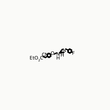 CCOC(=O)[C@H](C#N)Cc1ccc(OCCN[C@H]2C3CN(Cc4ccc(F)cc4)C[C@@H]32)cc1